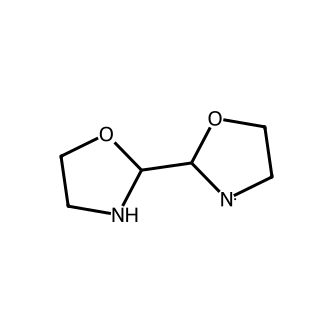 C1COC(C2NCCO2)[N]1